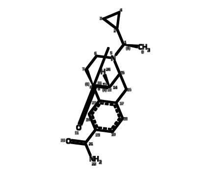 C[C@H](C1CC1)N1CC[C@]23CC(=O)CC[C@H]2C1Cc1ccc(C(N)=O)cc13